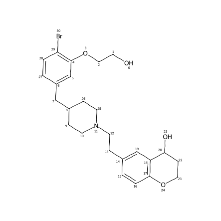 OCCOc1cc(CC2CCN(CCc3ccc4c(c3)C(O)CCO4)CC2)ccc1Br